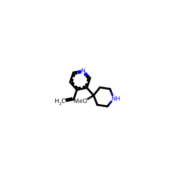 C=Cc1ccncc1C1(OC)CCNCC1